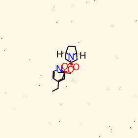 CCc1ccnc(O[C@H]2C[C@H]3CC[C@@H](C2)N3C(=O)OC(C)(C)C)c1